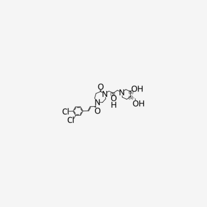 O=C(C=Cc1ccc(Cl)c(Cl)c1)N1CCC(=O)N(C[C@@H](O)CN2CC[C@@H](CO)[C@H](O)C2)CC1